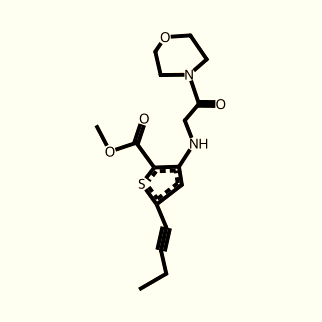 CCC#Cc1cc(NCC(=O)N2CCOCC2)c(C(=O)OC)s1